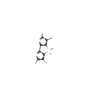 Ic1sc2c(c1I)S(I)(I)c1c-2sc(I)c1I